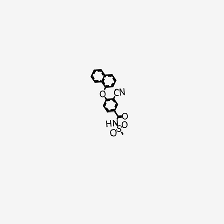 CS(=O)(=O)NC(=O)c1ccc(Oc2cccc3ccccc23)c(C#N)c1